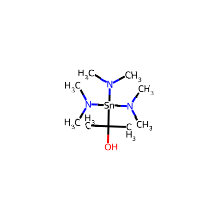 C[N](C)[Sn]([N](C)C)([N](C)C)[C](C)(C)O